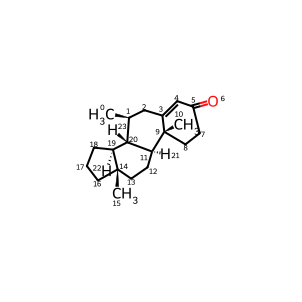 C[C@H]1CC2=CC(=O)CC[C@]2(C)[C@H]2CC[C@]3(C)CCC[C@H]3[C@H]12